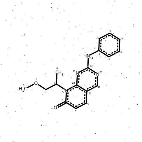 COCC(C)n1c(=O)ccc2cnc(Nc3ccccc3)nc21